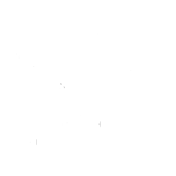 Cc1ccc2c(=O)c3ccc(Cl)c(OCc4ccccc4)c3n(CC(=O)O)c2c1